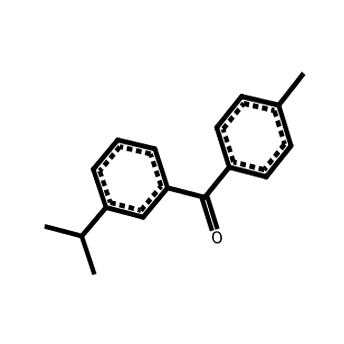 Cc1ccc(C(=O)c2cccc(C(C)C)c2)cc1